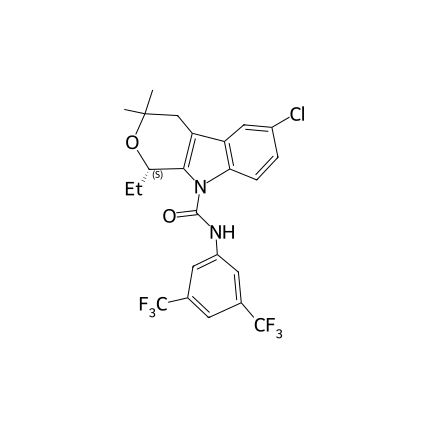 CC[C@@H]1OC(C)(C)Cc2c1n(C(=O)Nc1cc(C(F)(F)F)cc(C(F)(F)F)c1)c1ccc(Cl)cc21